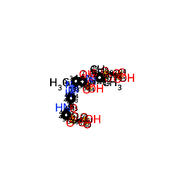 CNc1ccc2c(O)c(/N=N/c3cc(C)c(S(=O)(=O)CCOS(=O)(=O)O)cc3OC)c(S(=O)(=O)O)cc2c1/N=N/c1ccc(C(=O)Nc2cccc(S(=O)(=O)CCOS(=O)(=O)O)c2)cc1